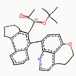 CC(=O)[C@@H](OC(C)(C)C)c1c2c(c3ccccc3c1-c1ccc3c4c(ccnc14)CCO3)CCC2